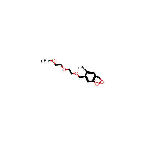 CCCCOCCOCCOCc1cc2c(cc1CCC)COO2